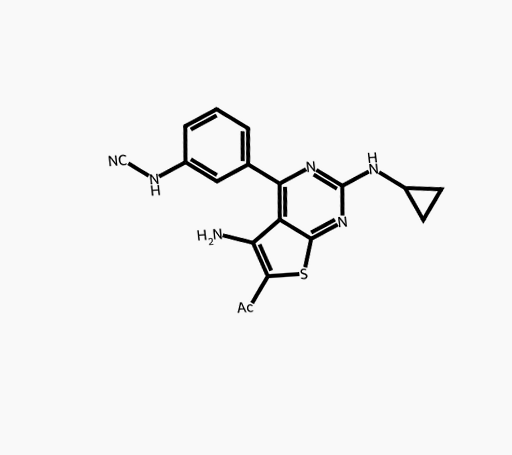 CC(=O)c1sc2nc(NC3CC3)nc(-c3cccc(NC#N)c3)c2c1N